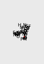 C[C@H]1CC[C@]2(CN(C(=O)n3cnc(F)n3)[C@@H]2C2(C)CC2)CN1c1nc(OC[C@@]23CCCN2C[C@H](F)C3)nc2c(F)c(-c3ccc(F)c4sc(N)c(C#N)c34)c(Cl)cc12